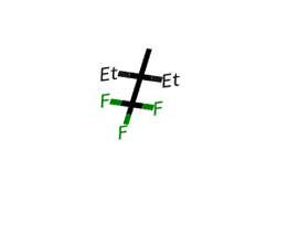 CCC(C)(CC)C(F)(F)F